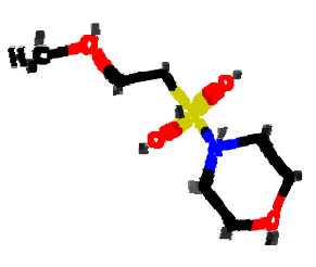 COCCS(=O)(=O)N1CCOCC1